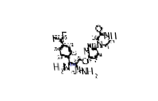 CN(N)/C(COc1ccc(N2CCNC(=O)C2)nn1)=C(\N)c1ccc(C(F)F)cc1